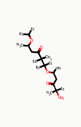 CCCC(CC(=O)C(C)(O)CC)OC(CC)(CC)C(C)(CC)C(=O)CC(C)OC(CC)CC